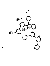 CC(C)(C)c1ccc2[nH]c3c(-c4nc5c(-c6cc(-c7ccccc7)cc(-c7cc(-c8ccccc8)ccn7)c6)cccc5n4-c4ccccc4)cc(C(C)(C)C)cc3c2c1